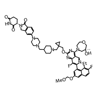 CCc1c(F)ccc2cc(OCOC)cc(-c3ncc4c(N5CCOC[C@@](C)(O)C5)nc(OCC5(CN6CCC(CN7CCN(c8ccc9c(c8)CN([C@H]8CCC(=O)NC8=O)C9=O)CC7)CC6)CC5)nc4c3F)c12